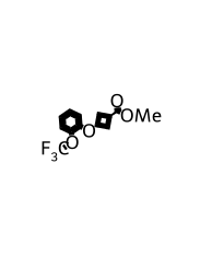 COC(=O)[C@H]1C[C@H](Oc2ccccc2OC(F)(F)F)C1